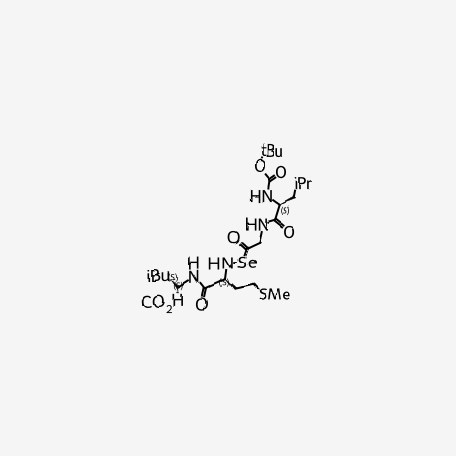 CC[C@H](C)[C@H](NC(=O)[C@H](CCSC)N[Se]C(=O)CNC(=O)[C@H](CC(C)C)NC(=O)OC(C)(C)C)C(=O)O